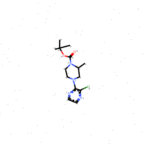 CC1CN(c2nccnc2Cl)CCN1C(=O)OC(C)(C)C